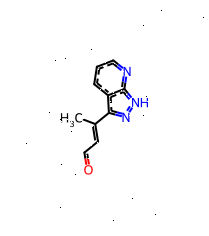 C/C(=C\C=O)c1n[nH]c2ncccc12